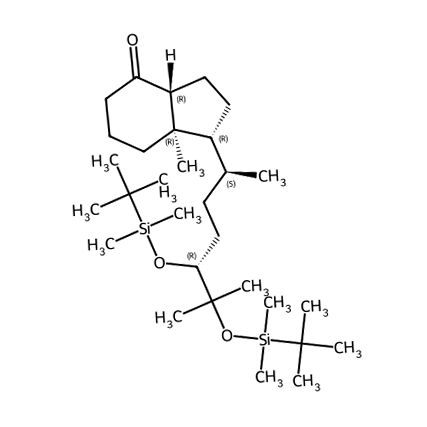 C[C@@H](CC[C@@H](O[Si](C)(C)C(C)(C)C)C(C)(C)O[Si](C)(C)C(C)(C)C)[C@H]1CC[C@H]2C(=O)CCC[C@]12C